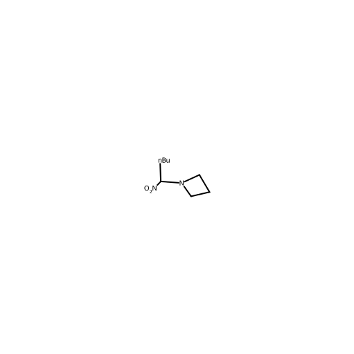 CCCCC(N1CCC1)[N+](=O)[O-]